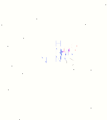 O=C1CCc2cccc(-n3nc(C4CCCN(CCC5CCCCC5)C4)[nH]c3=O)c2N1